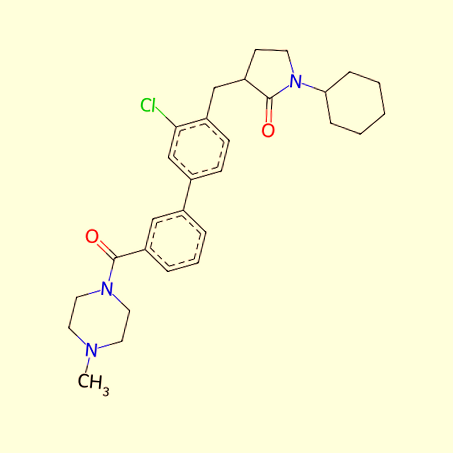 CN1CCN(C(=O)c2cccc(-c3ccc(CC4CCN(C5CCCCC5)C4=O)c(Cl)c3)c2)CC1